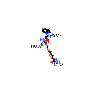 CNN(C)Cc1cc2ccccc2n1CCC(=O)N[C@@H](CCC(=O)O)C(=O)NCCOCCOCCNC(=O)NC=O